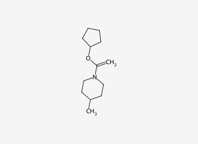 C=C(OC1CCCC1)N1CCC(C)CC1